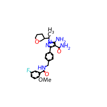 COc1ccc(F)cc1C(=O)NCc1ccc(-c2nn(C(C)C3CCCOC3)c(N)c2C(N)=O)cc1